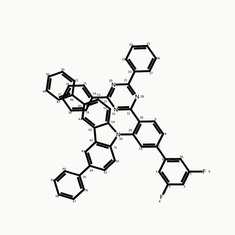 Fc1cc(F)cc(-c2ccc(-c3nc(-c4ccccc4)nc(-c4ccccc4)n3)c(-n3c4ccc(-c5ccccc5)cc4c4cc(-c5ccccc5)ccc43)c2)c1